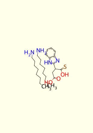 CCCCCCCCN.CCCCCCCCN.O=C(O)CC(C(O)=S)c1nc2ccccc2[nH]1